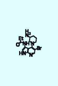 CCC(=O)Nc1c[nH]c2ncc(Br)c(N3CCCC(N)C3)c12